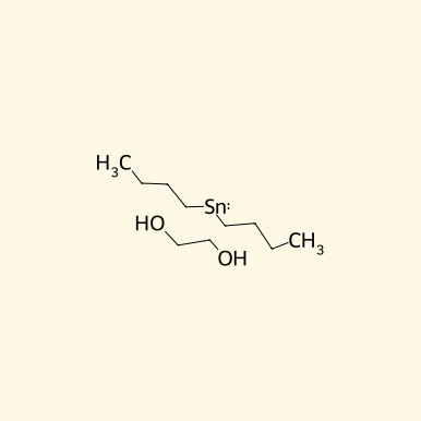 CCC[CH2][Sn][CH2]CCC.OCCO